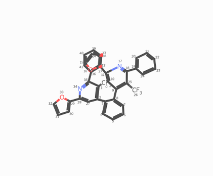 FC(F)(F)c1c(-c2ccccc2-c2cc(-c3ccco3)nc(-c3ccccc3)c2C(F)(F)F)cc(-c2ccco2)nc1-c1ccccc1